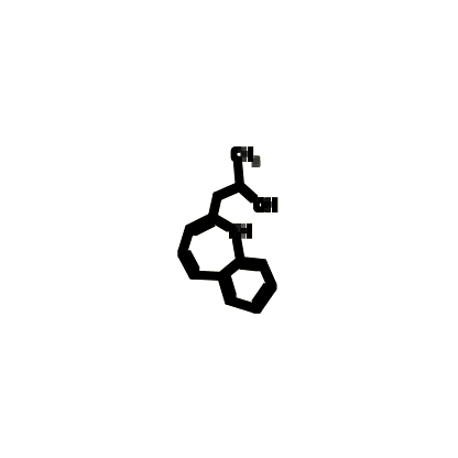 CC(O)CC1=CC=Cc2ccccc2N1